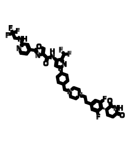 O=C1CC[C@H](c2c(F)cc(CCN3CCN(CC4CCC(n5cc(NC(=O)c6coc(-c7ccnc(NCC(F)(F)F)c7)n6)c(C(F)F)n5)CC4)CC3)cc2F)C(=O)N1